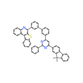 CC1(C)c2ccccc2-c2ccc(-c3cc(-c4cccc(-c5cccc(-c6nc7ccccc7c7c6sc6ccccc67)c5)c4)nc(-c4ccccc4)n3)cc21